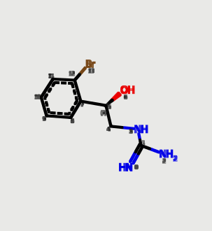 N=C(N)NC[C@H](O)c1ccccc1Br